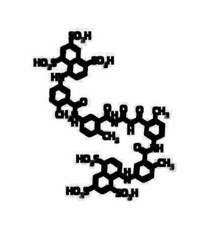 Cc1ccc(NC(=O)c2cc(Nc3ccc(S(=O)(=O)O)c4cc(S(=O)(=O)O)cc(S(=O)(=O)O)c34)ccc2C)cc1C(=O)NC(=O)NC(=O)c1cc(NC(=O)c2cc(Nc3ccc(S(=O)(=O)O)c4cc(S(=O)(=O)O)cc(S(=O)(=O)O)c34)ccc2C)ccc1C